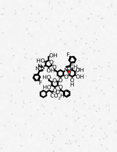 CC1O[C@@H](OC2C(n3cc(-c4cccc(F)c4)nn3)CC(CO[C@H]3OC(CO)[C@@H](O)C(n4cc(-c5cccc(F)c5)nn4)C3O)C[C@H]2O[C@@H]2OC(CO)[C@H](O)C(O[C@@H](CC3CCCCC3)C(=O)O)C2OC(=O)c2ccccc2)C(O)C(O)[C@@H]1O